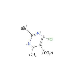 CCCCC1=NC(Cl)=C(C(=O)O)C(C)[N]1